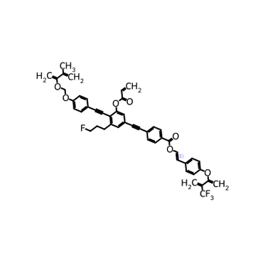 C=CC(=O)Oc1cc(C#Cc2ccc(C(=O)O/C=C/c3ccc(OC(=C)C(=C)C(F)(F)F)cc3)cc2)cc(CCCF)c1C#Cc1ccc(OCOC(=C)C(=C)C)cc1